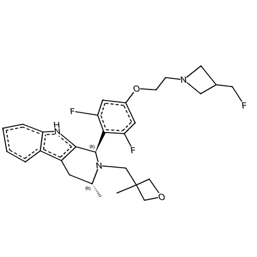 C[C@@H]1Cc2c([nH]c3ccccc23)[C@@H](c2c(F)cc(OCCN3CC(CF)C3)cc2F)N1CC1(C)COC1